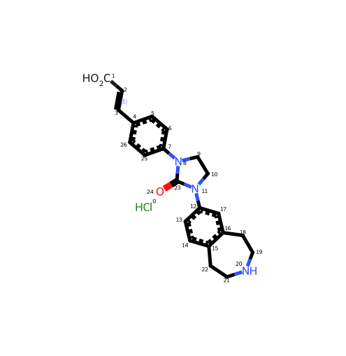 Cl.O=C(O)/C=C/c1ccc(N2CCN(c3ccc4c(c3)CCNCC4)C2=O)cc1